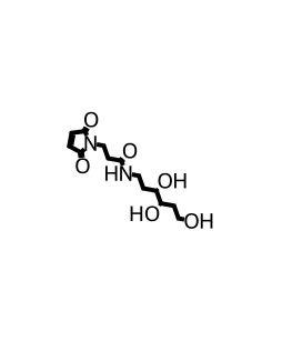 O=C(CCN1C(=O)C=CC1=O)NCC[C@@H](O)[C@H](O)CCO